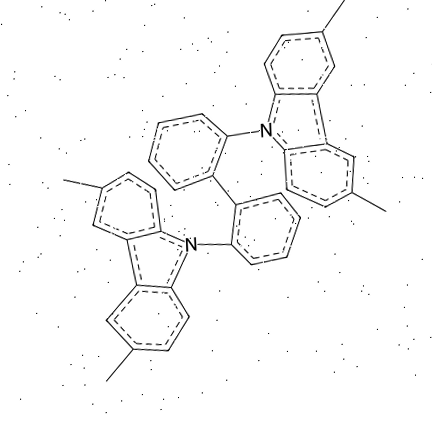 Cc1ccc2c(c1)c1cc(C)ccc1n2-c1ccccc1-c1ccccc1-n1c2ccc(C)cc2c2cc(C)ccc21